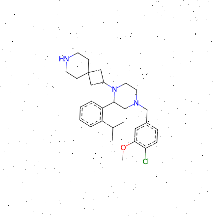 COc1cc(CN2CCN(C3CC4(CCNCC4)C3)C(c3ccccc3C(C)C)C2)ccc1Cl